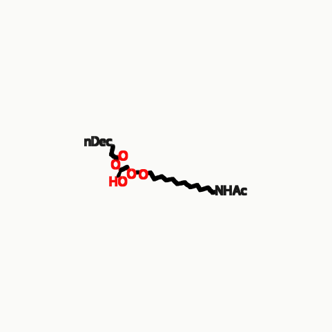 CCCCCCCCCCCCC(=O)O[C@H](CO)COCOCCCCCCCCCCCCNC(C)=O